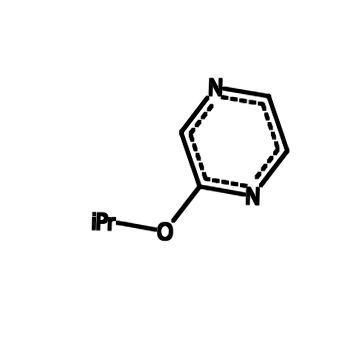 CC(C)Oc1cnccn1